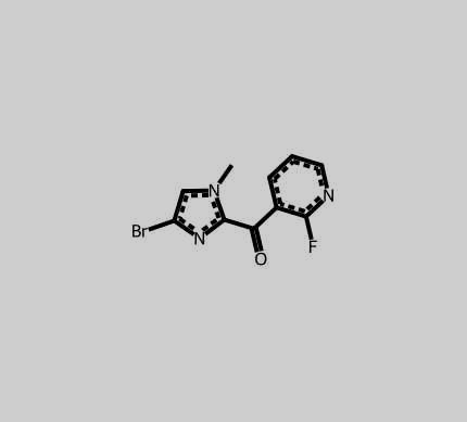 Cn1cc(Br)nc1C(=O)c1cccnc1F